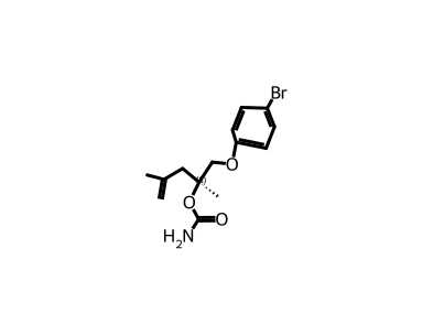 C=C(C)C[C@@](C)(COc1ccc(Br)cc1)OC(N)=O